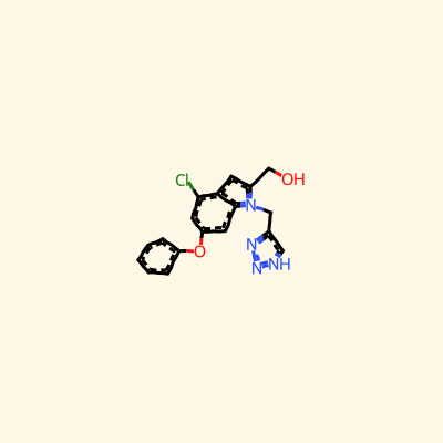 OCc1cc2c(Cl)cc(Oc3ccccc3)cc2n1Cc1c[nH]nn1